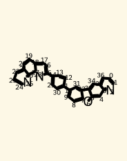 c1cnc2cc3oc4ccc(-c5ccc(-c6ccc7ccc8cccnc8c7n6)cc5)cc4c3cc2c1